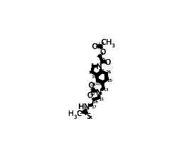 CC(=O)OCC(=O)N1CCc2cc(CN3C[C@@H](CNC(C)=S)OC3=O)ccc21